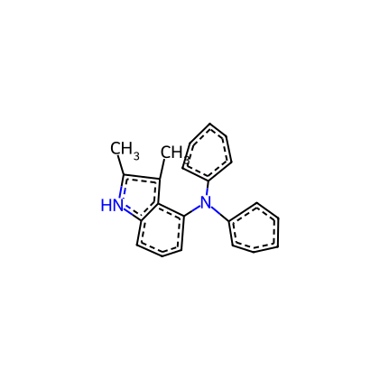 Cc1[nH]c2cccc(N(c3ccccc3)c3ccccc3)c2c1C